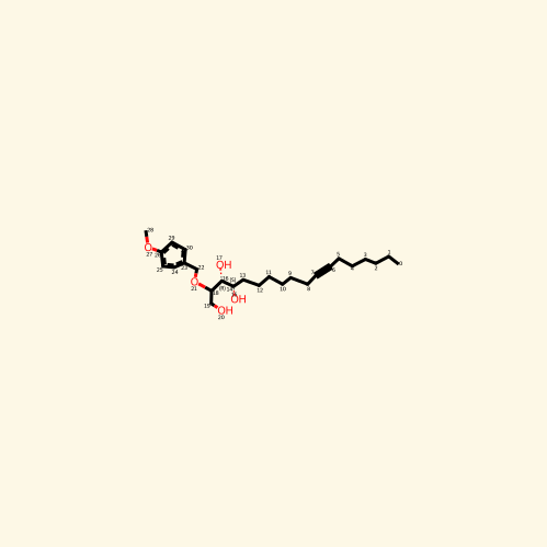 CCCCCCC#CCCCCCC[C@H](O)[C@@H](O)C(CO)OCc1ccc(OC)cc1